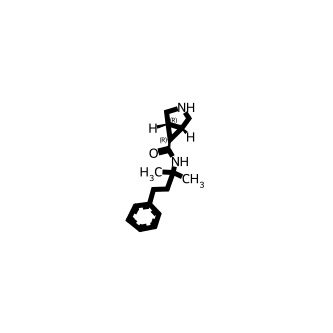 CC(C)(CCc1ccccc1)NC(=O)[C@H]1[C@@H]2CNC[C@@H]21